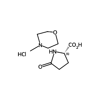 CN1CCOCC1.Cl.O=C1CC[C@@H](C(=O)O)N1